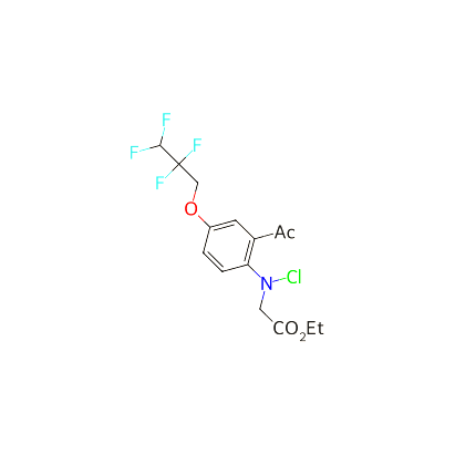 CCOC(=O)CN(Cl)c1ccc(OCC(F)(F)C(F)F)cc1C(C)=O